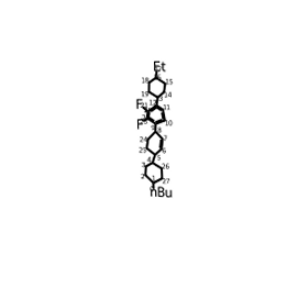 CCCCC1CCC(C2C=CC(c3ccc(C4CCC(CC)CC4)c(F)c3F)CC2)CC1